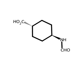 O=CN[C@H]1CC[C@H](C(=O)O)CC1